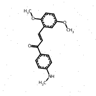 CNc1ccc(C(=O)C=Cc2cc(OC)ccc2OC)cc1